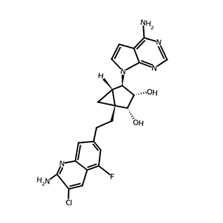 Nc1nc2cc(CC[C@@]34C[C@@H]3[C@@H](n3ccc5c(N)ncnc53)[C@H](O)[C@@H]4O)cc(F)c2cc1Cl